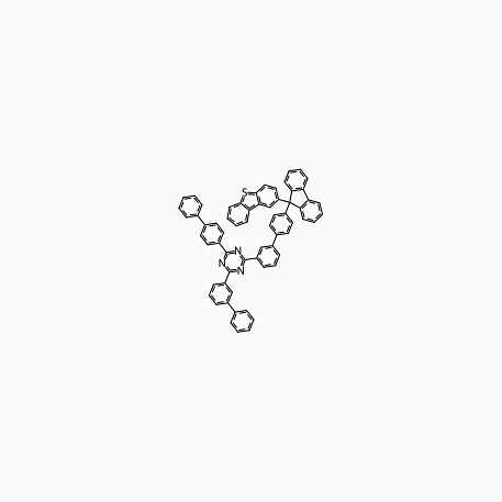 c1ccc(-c2ccc(-c3nc(-c4cccc(-c5ccccc5)c4)nc(-c4cccc(-c5ccc(C6(c7ccc8sc9ccccc9c8c7)c7ccccc7-c7ccccc76)cc5)c4)n3)cc2)cc1